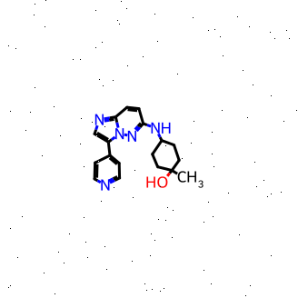 CC1(O)CCC(Nc2ccc3ncc(-c4ccncc4)n3n2)CC1